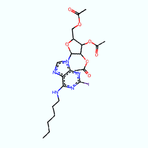 CCCCCCNc1nc(I)nc2c1ncn2C1OC(COC(C)=O)C(OC(C)=O)C1OC(C)=O